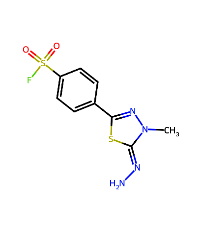 Cn1nc(-c2ccc(S(=O)(=O)F)cc2)sc1=NN